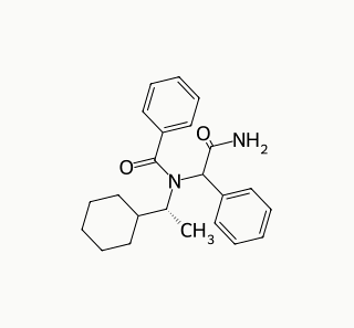 C[C@H](C1CCCCC1)N(C(=O)c1ccccc1)C(C(N)=O)c1ccccc1